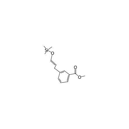 COC(=O)c1cccc(CC=CO[Si](C)(C)C)c1